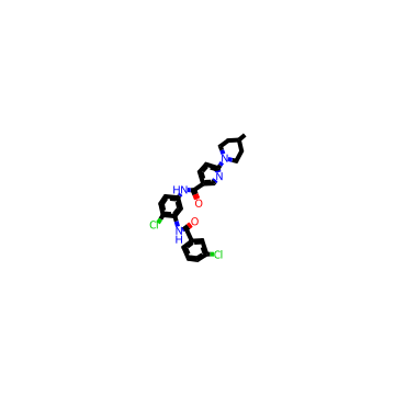 CC1CCN(c2ccc(C(=O)Nc3ccc(Cl)c(NC(=O)c4cccc(Cl)c4)c3)cn2)CC1